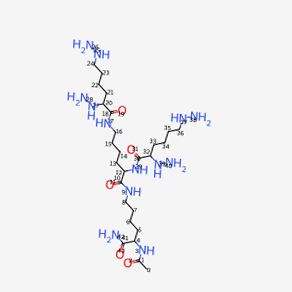 CC(=O)NC(CCCCNC(=O)C(CCCCNC(=O)C(CCCCNN)NN)NC(=O)C(CCCCNN)NN)C(N)=O